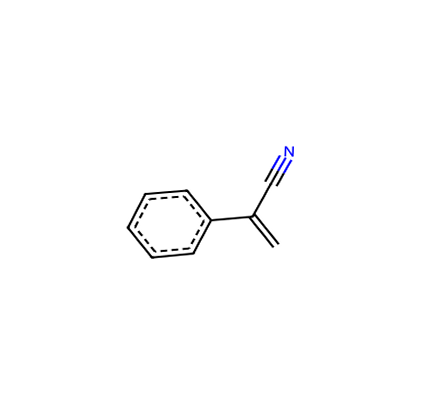 C=C(C#N)c1ccccc1